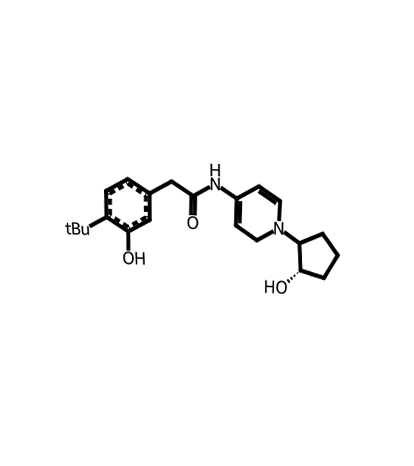 CC(C)(C)c1ccc(CC(=O)NC2=CCN(C3CCC[C@@H]3O)C=C2)cc1O